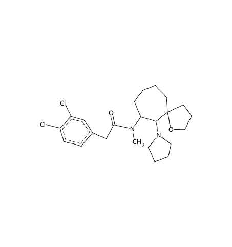 CN(C(=O)Cc1ccc(Cl)c(Cl)c1)C1CCCCC2(CCCO2)C1N1CCCC1